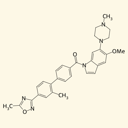 COc1cc2ccn(C(=O)c3ccc(-c4ccc(-c5noc(C)n5)cc4C)cc3)c2cc1N1CCN(C)CC1